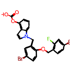 O=C(O)Oc1cccc2c1ccn2Cc1cc(Br)ccc1OCc1ccc(Br)cc1F